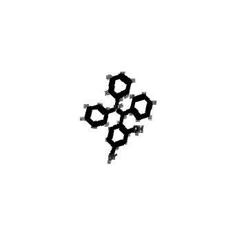 Oc1cc(Br)ccc1C(c1ccccc1)P(c1ccccc1)c1ccccc1